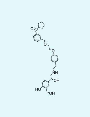 [O-][S+](c1cccc(COCCOc2ccc(CCNCC(O)c3ccc(O)c(CO)c3)cc2)c1)C1CCCC1